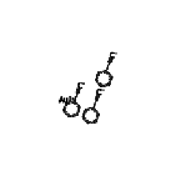 [Au+3].[C-]#Cc1ccccc1.[C-]#Cc1ccccc1.[C-]#Cc1ccccc1